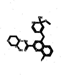 COC1(O)C=C(Cc2cc(C(=O)N[C@H]3CCOC[C@@H]3O)nc3c(F)cccc23)C=CN1